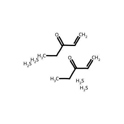 C=CC(=O)CC.C=CC(=O)CC.S.S.S.S